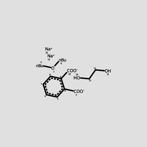 CCCCOCCCC.O=C([O-])c1ccccc1C(=O)[O-].OCCO.[Na+].[Na+]